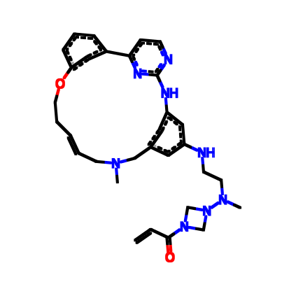 C=CC(=O)N1CN(N(C)CCNc2cc3cc(c2)Nc2nccc(n2)-c2cccc(c2)OCC/C=C/CN(C)C3)C1